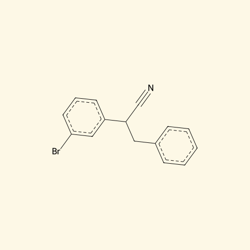 N#CC(Cc1ccccc1)c1cccc(Br)c1